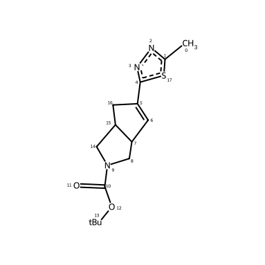 Cc1nnc(C2=CC3CN(C(=O)OC(C)(C)C)CC3C2)s1